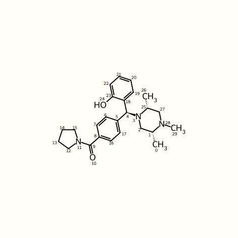 C[C@@H]1CN([C@@H](c2ccc(C(=O)N3CCCC3)cc2)c2ccccc2O)[C@H](C)CN1C